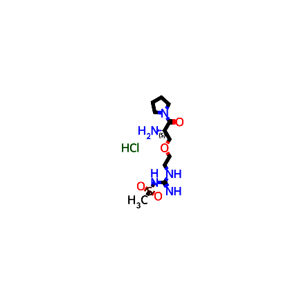 CS(=O)(=O)NC(=N)NCCOC[C@H](N)C(=O)N1CCCC1.Cl